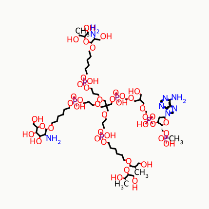 C[C@@H](O)C(CO)O[C@@H](OCCCCCCOP(=O)(O)OCCCOCC(COCCCOP(=O)(O)OCCCCCCO[C@H](OC(CO)[C@@H](C)O)[C@@H](N)CO)(COCCCOP(=O)(O)OCCCCCCO[C@@H]1OC(CO)[C@H](O)C(O)[C@@H]1N)COP(=O)(O)OCOCC(CO)COCOP(=O)(O)O[C@H]1C[C@H](n2cnc3c(N)ncnc32)O[C@@H]1COP(C)(=O)O)[C@@H](C)CO